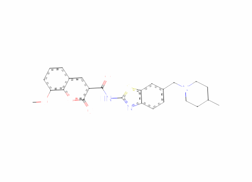 COc1cccc2cc(C(=O)Nc3nc4ccc(CN5CCC(C)CC5)cc4s3)c(=O)oc12